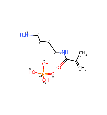 C=C(C)C(=O)NCCCCN.O=P(O)(O)O